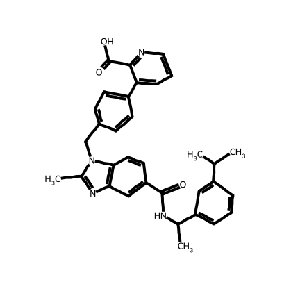 Cc1nc2cc(C(=O)NC(C)c3cccc(C(C)C)c3)ccc2n1Cc1ccc(-c2cccnc2C(=O)O)cc1